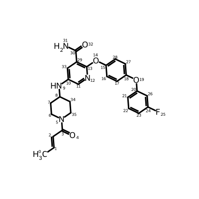 C/C=C/C(=O)N1CCC(Nc2cnc(Oc3ccc(Oc4cccc(F)c4)cc3)c(C(N)=O)c2)CC1